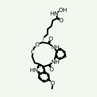 COc1ccc2[nH]c3c(c2c1)C(=O)Nc1ccccc1NC(=O)[C@@H](CCCCCC(=O)NO)OCCCC3